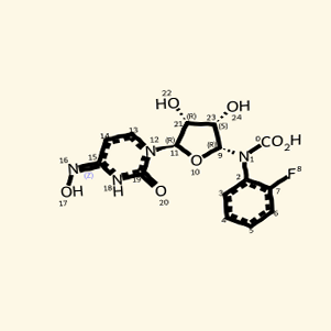 O=C(O)N(c1ccccc1F)[C@@H]1O[C@@H](n2cc/c(=N/O)[nH]c2=O)[C@H](O)[C@@H]1O